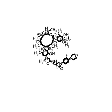 CC[C@H]1OC(=O)[C@H](C)[C@@H](O[C@@H]2C[C@@](C)(OC)[C@@H](O)[C@H](C)O2)[C@H](C)[C@@H](O[C@@H]2O[C@H](C)C[C@H](N(C)CC(=O)NC[C@H]3CN(c4ccc(N5CCOCC5)c(F)c4)C(=O)O3)[C@H]2O)[C@](C)(O)C[C@@H](C)C(=O)[C@H](C)[C@@H](O)[C@]1(C)O